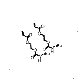 C=CC(=O)OCCOC(=O)NCCCC.C=CC(=O)OCCOC(=O)NCCCC